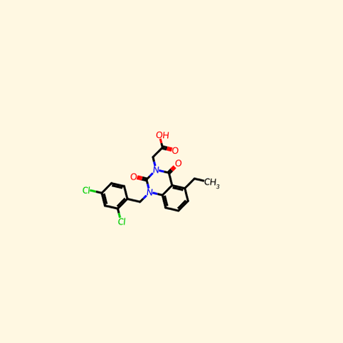 CCc1cccc2c1c(=O)n(CC(=O)O)c(=O)n2Cc1ccc(Cl)cc1Cl